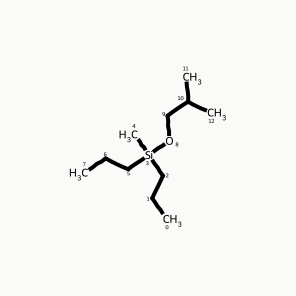 CCC[Si](C)(CCC)OCC(C)C